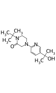 CC(C)(O)c1ccc(N2CCN(C(C)(C)C)C(=O)C2)nc1